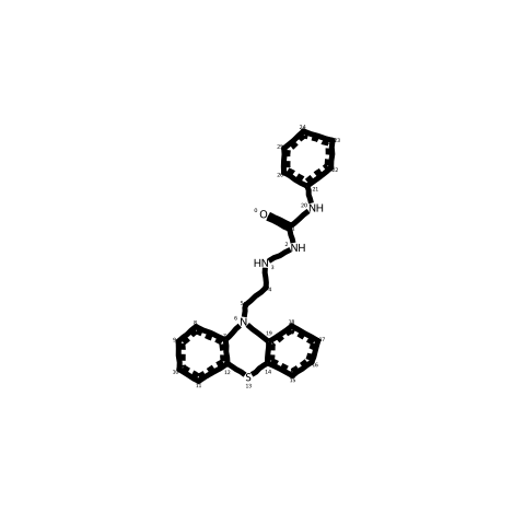 O=C(NNCCN1c2ccccc2Sc2ccccc21)Nc1ccccc1